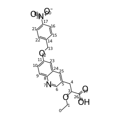 CCOC(Cc1cnc2ccc(OCc3ccc([N+](=O)[O-])cc3)cc2c1)C(=O)O